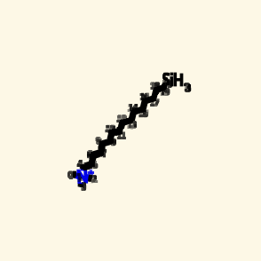 C[N+](C)(C)CCCCCCCCCCCCCCCC[SiH3]